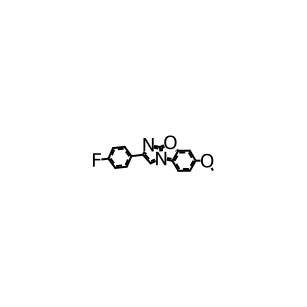 COc1ccc2c(c1)oc1nc(-c3ccc(F)cc3)cn12